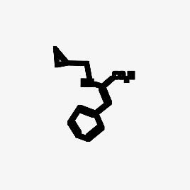 O=C(O)/C(=C/c1ccccc1)NCC1CC1